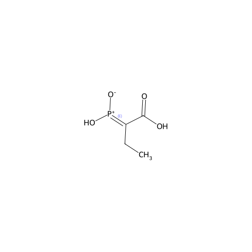 CC/C(C(=O)O)=[P+](/[O-])O